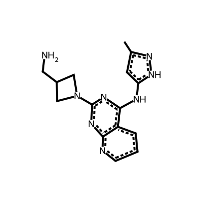 Cc1cc(Nc2nc(N3CC(CN)C3)nc3ncccc23)[nH]n1